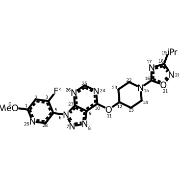 COc1cc(F)c(-n2nnc3c(OC4CCN(c5nc(C(C)C)no5)CC4)ncnc32)cn1